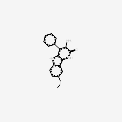 COc1ccc2[nH]c3c(-c4ccccc4)c(N)c(=O)[nH]c3c2c1